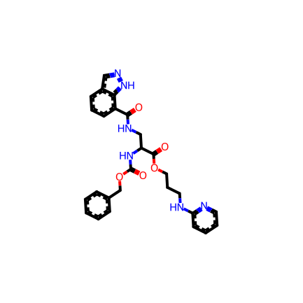 O=C(NC(CNC(=O)c1cccc2cn[nH]c12)C(=O)OCCCNc1ccccn1)OCc1ccccc1